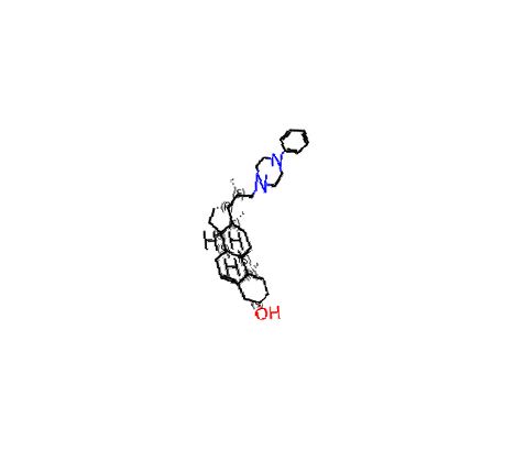 C[C@H](CN1CCN(c2ccccc2)CC1)[C@H]1CC[C@H]2[C@@H]3CC=C4C[C@@H](O)CC[C@]4(C)[C@H]3CC[C@]12C